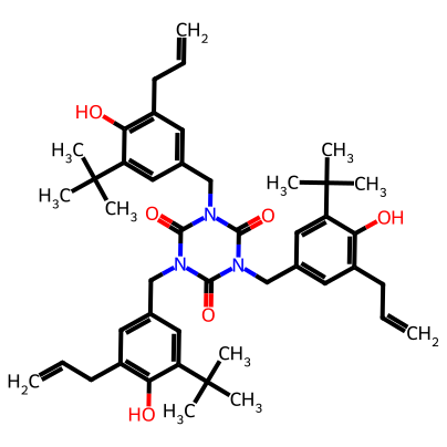 C=CCc1cc(Cn2c(=O)n(Cc3cc(CC=C)c(O)c(C(C)(C)C)c3)c(=O)n(Cc3cc(CC=C)c(O)c(C(C)(C)C)c3)c2=O)cc(C(C)(C)C)c1O